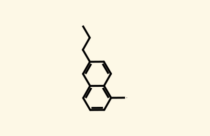 [CH2]c1cccc2cc(CCC)ccc12